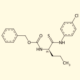 CCC[C@@H](NC(=O)OCc1ccccc1)C(=S)Nc1ccc(Cl)cc1